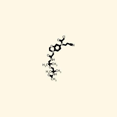 CC(=O)NC(C)(C)COC(C)(C)CNC(=O)CN1CCOc2cc(N(CCC#N)C(=O)CCl)ccc21